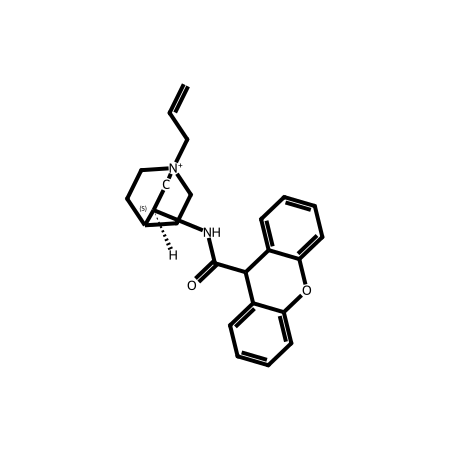 C=CC[N+]12CCC(CC1)[C@H](NC(=O)C1c3ccccc3Oc3ccccc31)C2